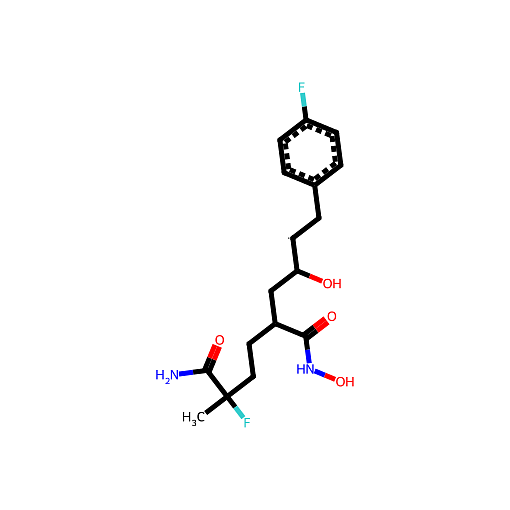 CC(F)(CCC(CC(O)[CH]Cc1ccc(F)cc1)C(=O)NO)C(N)=O